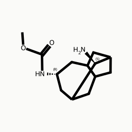 COC(=O)N[C@@H]1CC2CC3CC2CC(C1)[C@H]3N